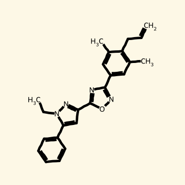 C=CCc1c(C)cc(-c2noc(-c3cc(-c4ccccc4)n(CC)n3)n2)cc1C